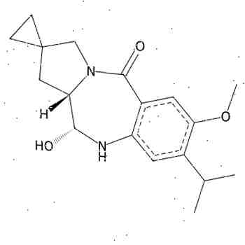 COc1cc2c(cc1C(C)C)N[C@H](O)[C@@H]1CC3(CC3)CN1C2=O